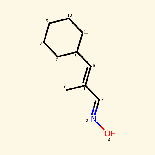 CC(/C=N/O)=C\C1CCCCC1